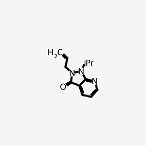 C=CCn1c(=O)c2cccnc2n1C(C)C